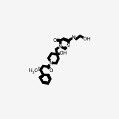 C[C@H](CC(=O)N1CCC(O)(Cn2cnc(NCCO)cc2=O)CC1)c1ccccc1